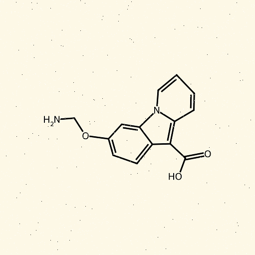 NCOc1ccc2c(C(=O)O)c3ccccn3c2c1